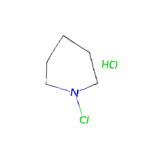 Cl.ClN1CCCCC1